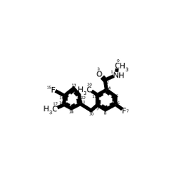 CNC(=O)c1cc(F)cc(Cc2ccc(F)c(C)c2)c1C